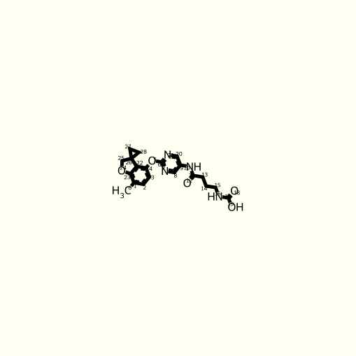 Cc1ccc(Oc2ncc(NC(=O)CCCNC(=O)O)cn2)c2c1OCC21CC1